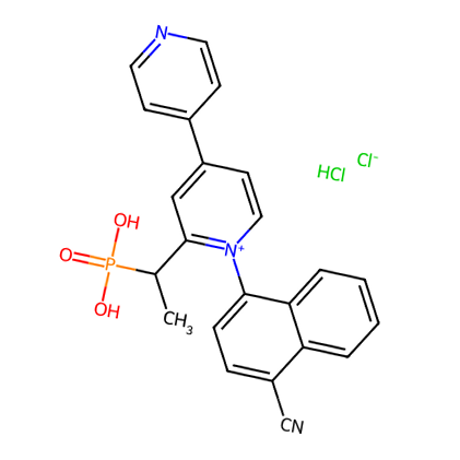 CC(c1cc(-c2ccncc2)cc[n+]1-c1ccc(C#N)c2ccccc12)P(=O)(O)O.Cl.[Cl-]